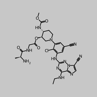 CCNc1nc(Nc2cc(C#N)cc(N3CC[C@@H](NC(=O)OC)[C@H](OC(=O)CNC(=O)[C@H](C)N)C3)c2Cl)nn2c(C#N)cnc12